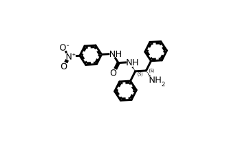 N[C@@H](c1ccccc1)[C@@H](NC(=O)Nc1ccc([N+](=O)[O-])cc1)c1ccccc1